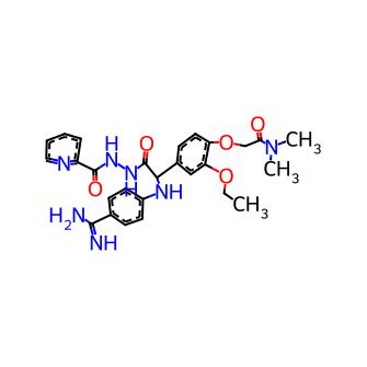 CCOc1cc(C(Nc2ccc(C(=N)N)cc2)C(=O)NNC(=O)c2ccccn2)ccc1OCC(=O)N(C)C